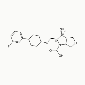 N[C@H]1C2COCC2N(C(=O)O)[C@H]1COC1CCC(c2cccc(F)c2)CC1